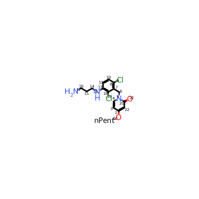 CCCCCOc1ccn(Cc2c(Cl)ccc(NCCCN)c2Cl)c(=O)c1